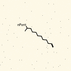 C=CCCCCCCCCC(C)CCCCC